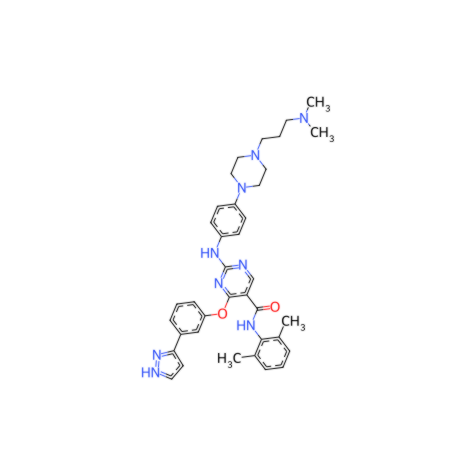 Cc1cccc(C)c1NC(=O)c1cnc(Nc2ccc(N3CCN(CCCN(C)C)CC3)cc2)nc1Oc1cccc(-c2cc[nH]n2)c1